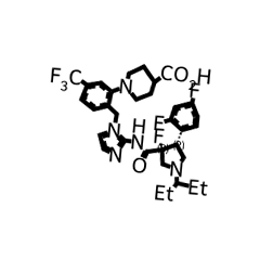 CCC(CC)N1C[C@@H](c2ccc(F)cc2F)[C@](F)(C(=O)Nc2nccn2Cc2ccc(C(F)(F)F)cc2N2CCC(C(=O)O)CC2)C1